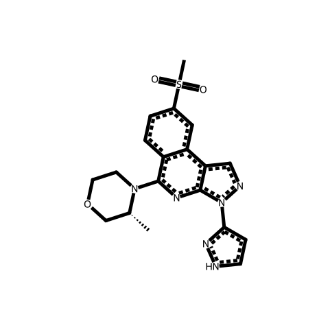 C[C@@H]1COCCN1c1nc2c(cnn2-c2cc[nH]n2)c2cc(S(C)(=O)=O)ccc12